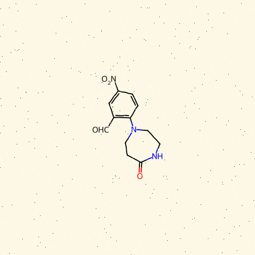 O=Cc1cc([N+](=O)[O-])ccc1N1CCNC(=O)CC1